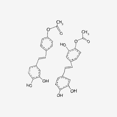 CC(=O)Oc1ccc(/C=C/c2ccc(O)c(O)c2)cc1.CC(=O)Oc1ccc(/C=C/c2ccc(O)c(O)c2)cc1O